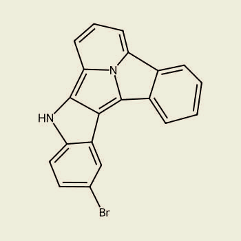 Brc1ccc2[nH]c3c(c2c1)c1c2ccccc2c2cccc3n21